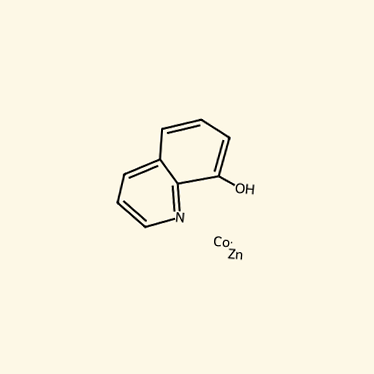 Oc1cccc2cccnc12.[Co].[Zn]